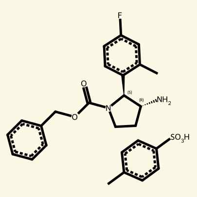 Cc1cc(F)ccc1[C@H]1[C@H](N)CCN1C(=O)OCc1ccccc1.Cc1ccc(S(=O)(=O)O)cc1